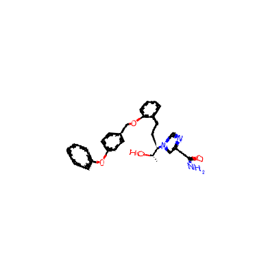 C[C@H](O)[C@@H](CCc1ccccc1OCc1ccc(Oc2ccccc2)cc1)n1cnc(C(N)=O)c1